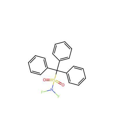 O=S(=O)(N(F)F)C(c1ccccc1)(c1ccccc1)c1ccccc1